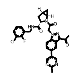 CC(=O)c1nn(CC(=O)N2[C@@H]3C[C@@H]3C[C@H]2C(=O)NCc2cccc(Cl)c2F)c2ccc(-c3cnc(C)nc3)cc12